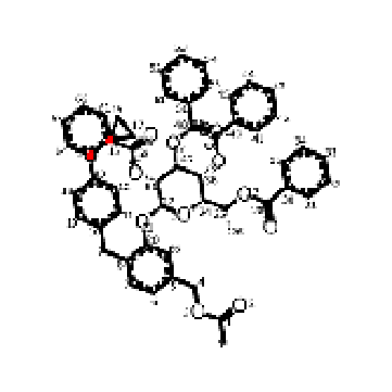 CC(=O)OCc1ccc(Cc2ccc(OC3CC3)cc2)c(O[C@@H]2O[C@H]([C@@H](C)OC(=O)c3ccccc3)[C@@H](OC(=O)c3ccccc3)[C@H](OC(=O)c3ccccc3)[C@H]2OC(=O)c2ccccc2)c1